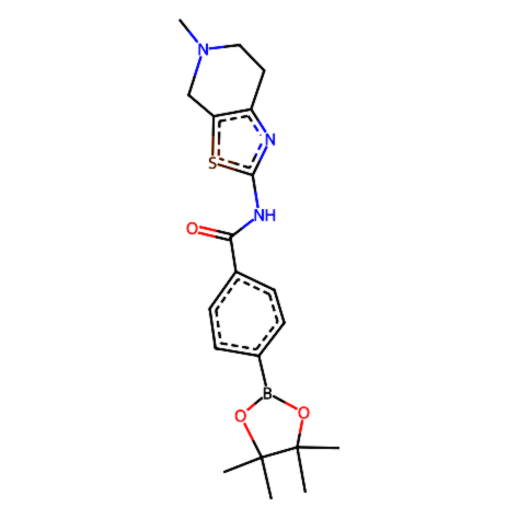 CN1CCc2nc(NC(=O)c3ccc(B4OC(C)(C)C(C)(C)O4)cc3)sc2C1